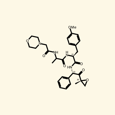 COc1ccc(C[C@H](NC(=O)C(C)NC(=O)CN2CCOCC2)C(=O)N[C@H](C(=O)[C@@]2(C)CO2)c2ccccc2)cc1